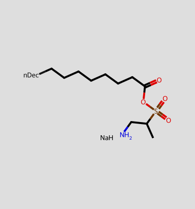 CCCCCCCCCCCCCCCCCC(=O)OS(=O)(=O)C(C)CN.[NaH]